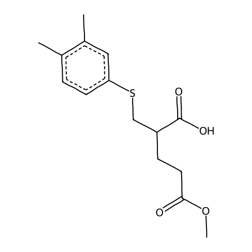 COC(=O)CCC(CSc1ccc(C)c(C)c1)C(=O)O